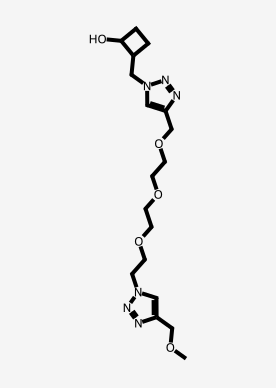 COCc1cn(CCOCCOCCOCc2cn(CC3CCC3O)nn2)nn1